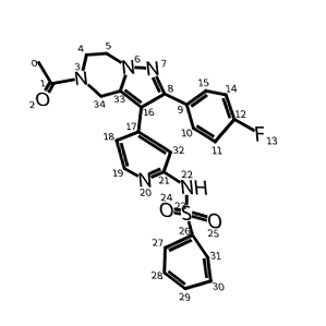 CC(=O)N1CCn2nc(-c3ccc(F)cc3)c(-c3ccnc(NS(=O)(=O)c4ccccc4)c3)c2C1